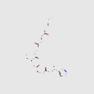 CCC(C)[C@H](NC(=O)C[C@@H](C)c1c[nH]cn1)C(=O)N[C@@H](CC(C)C)C(=O)NCC(=O)NCC(=O)NCCN